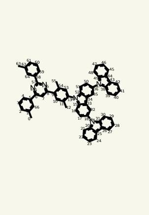 Cc1cccc(-c2cc(-c3cc(C)c(-n4c5ccc(-n6c7ccccc7c7ccccc76)cc5c5cc(-n6c7ccccc7c7ccccc76)ccc54)cc3C)nc(-c3cccc(C)c3)n2)c1